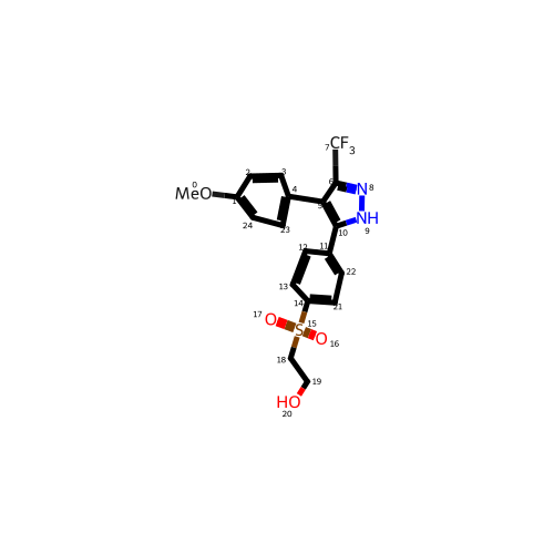 COc1ccc(-c2c(C(F)(F)F)n[nH]c2-c2ccc(S(=O)(=O)CCO)cc2)cc1